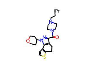 CC(C)CCN1CCN(C(=O)c2nn(C3CCOCC3)c3c2CCc2sccc2-3)CC1